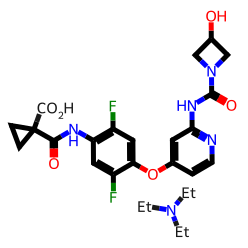 CCN(CC)CC.O=C(Nc1cc(Oc2cc(F)c(NC(=O)C3(C(=O)O)CC3)cc2F)ccn1)N1CC(O)C1